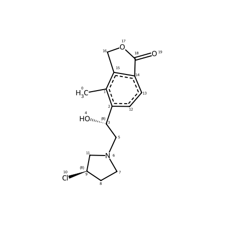 Cc1c([C@@H](O)CN2CC[C@@H](Cl)C2)ccc2c1COC2=O